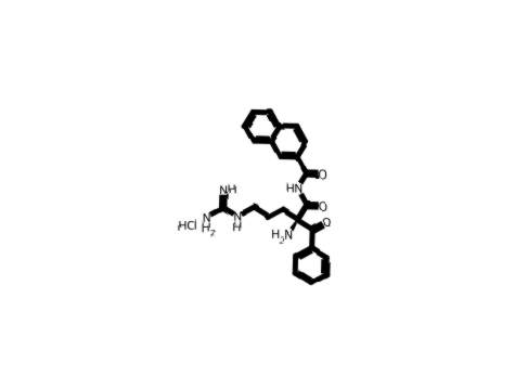 Cl.N=C(N)NCCC[C@](N)(C(=O)NC(=O)c1ccc2ccccc2c1)C(=O)c1ccccc1